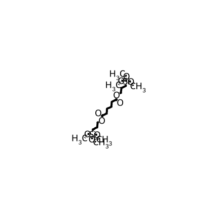 CO[Si](CCCOC(=O)CCCCC(=O)OCCC[Si](OC)(OC)OC)(OC)OC